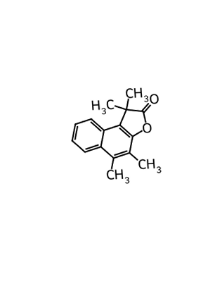 Cc1c2c(c3ccccc3c1C)C(C)(C)C(=O)O2